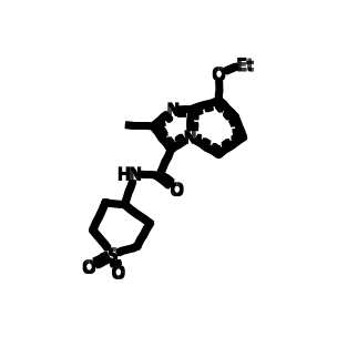 CCOc1cccn2c(C(=O)NC3CCS(=O)(=O)CC3)c(C)nc12